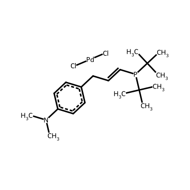 CN(C)c1ccc(CC=CP(C(C)(C)C)C(C)(C)C)cc1.[Cl][Pd][Cl]